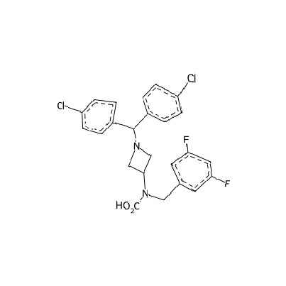 O=C(O)N(Cc1cc(F)cc(F)c1)C1CN(C(c2ccc(Cl)cc2)c2ccc(Cl)cc2)C1